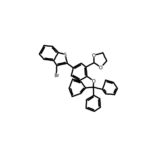 Brc1c(-c2ccc(OC(c3ccccc3)(c3ccccc3)c3ccccc3)c(C3OCCO3)c2)sc2ccccc12